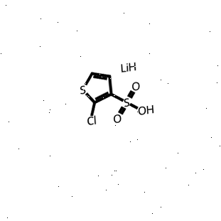 O=S(=O)(O)c1ccsc1Cl.[LiH]